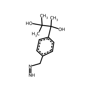 CC(C)(O)C(C)(O)c1ccc(CN=N)cc1